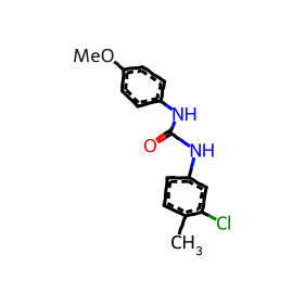 COc1ccc(NC(=O)Nc2ccc(C)c(Cl)c2)cc1